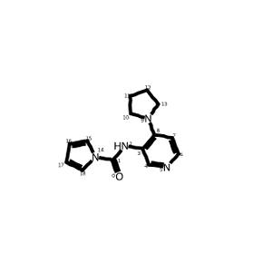 O=C(Nc1cnccc1N1CCCC1)n1cccc1